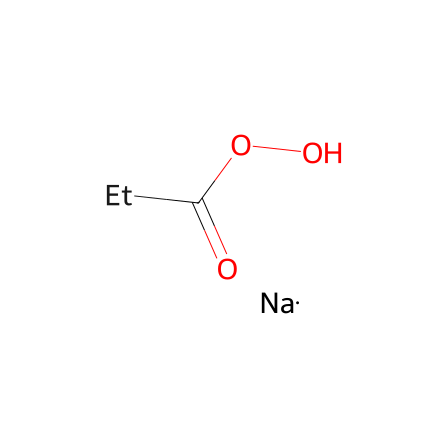 CCC(=O)OO.[Na]